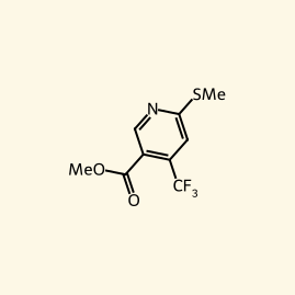 COC(=O)c1cnc(SC)cc1C(F)(F)F